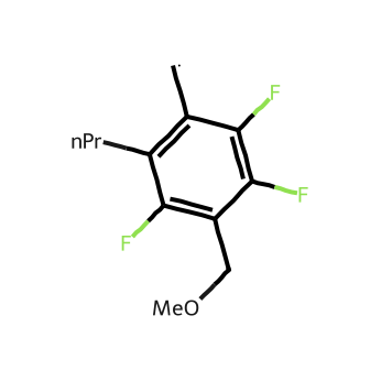 [CH2]c1c(F)c(F)c(COC)c(F)c1CCC